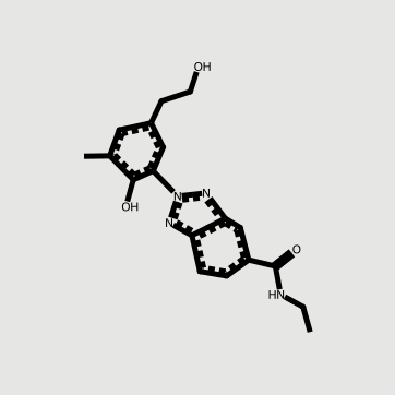 CCNC(=O)c1ccc2nn(-c3cc(CCO)cc(C)c3O)nc2c1